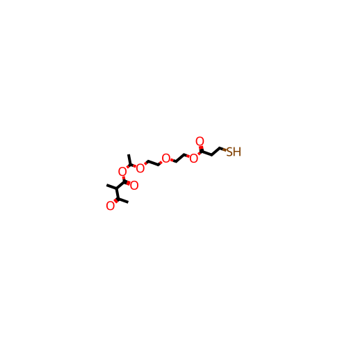 CC(=O)C(C)C(=O)OC(C)OCCOCCOC(=O)CCS